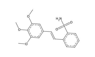 COc1cc(C=Cc2ccccc2S(N)(=O)=O)cc(OC)c1OC